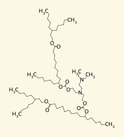 CCCCCCC(CCCCCCCCC(=O)OCCC(CCCCC)CCCCC)OC(=O)OCCN(CCOC(=O)OC(CCCCCC)CCCCCCCCC(=O)OCCC(CCCCC)CCCCC)CCN(CC)CC